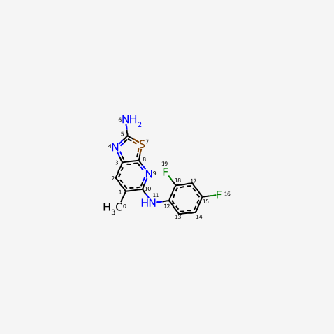 Cc1cc2nc(N)sc2nc1Nc1ccc(F)cc1F